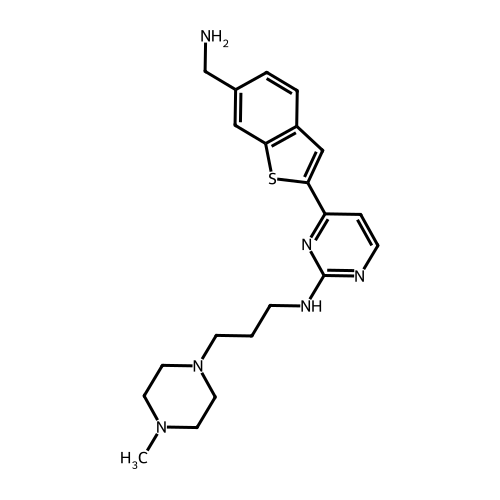 CN1CCN(CCCNc2nccc(-c3cc4ccc(CN)cc4s3)n2)CC1